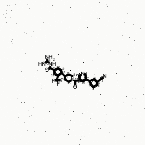 N#Cc1cccc(-c2cncc(C(=O)N3CCC(c4ccc(C(=O)NC(=N)N)cc4C(F)(F)F)CC3)c2)c1